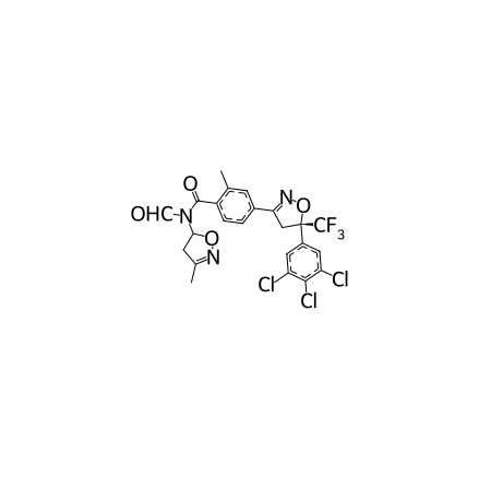 CC1=NOC(N(C=O)C(=O)c2ccc(C3=NO[C@@](c4cc(Cl)c(Cl)c(Cl)c4)(C(F)(F)F)C3)cc2C)C1